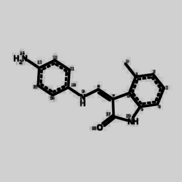 Cc1cccc2c1C(=CNc1ccc(N)cc1)C(=O)N2